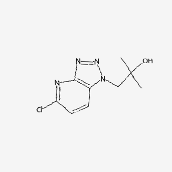 CC(C)(O)Cn1nnc2nc(Cl)ccc21